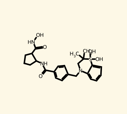 CC1(C)CN(Cc2ccc(C(=O)NC3CCCC3C(=O)NO)cc2)c2ccccc2S1(O)O